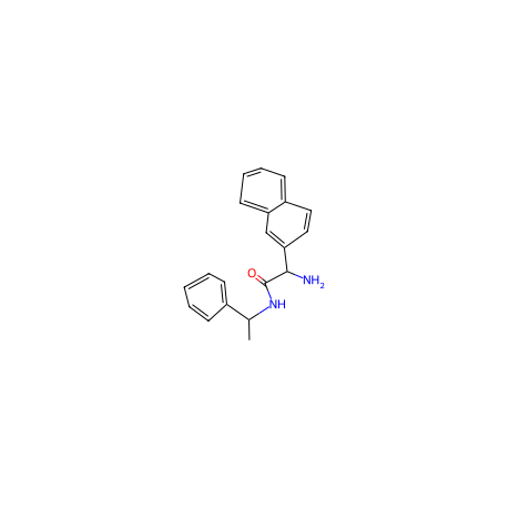 CC(NC(=O)C(N)c1ccc2ccccc2c1)c1ccccc1